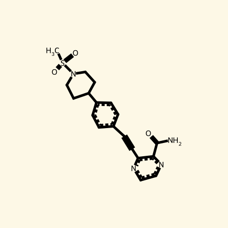 CS(=O)(=O)N1CCC(c2ccc(C#Cc3nccnc3C(N)=O)cc2)CC1